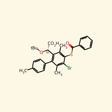 Cc1ccc(-c2c(C)c(Br)c(SC(=O)c3ccccc3)c(C)c2[C@H](OC(C)(C)C)C(=O)O)cc1